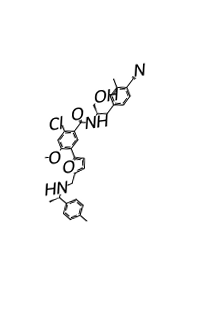 COc1cc(Cl)c(C(=O)N[C@@H](CO)Cc2ccc(C#N)c(C)c2)cc1-c1ccc(CN[C@H](C)c2ccc(C)cc2)o1